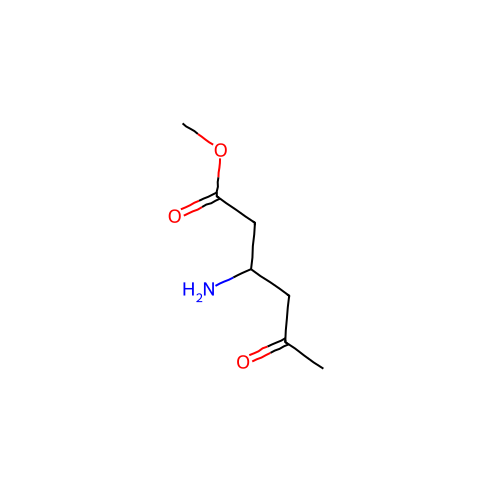 COC(=O)CC(N)CC(C)=O